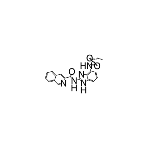 CCS(=O)(=O)Nc1cccc2[nH]c(NC(=O)c3cc4ccccc4cn3)nc12